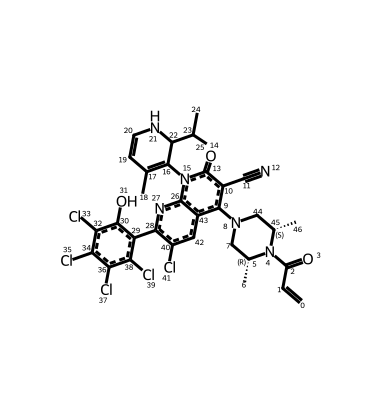 C=CC(=O)N1[C@H](C)CN(c2c(C#N)c(=O)n(C3=C(C)C=CNC3C(C)C)c3nc(-c4c(O)c(Cl)c(Cl)c(Cl)c4Cl)c(Cl)cc23)C[C@@H]1C